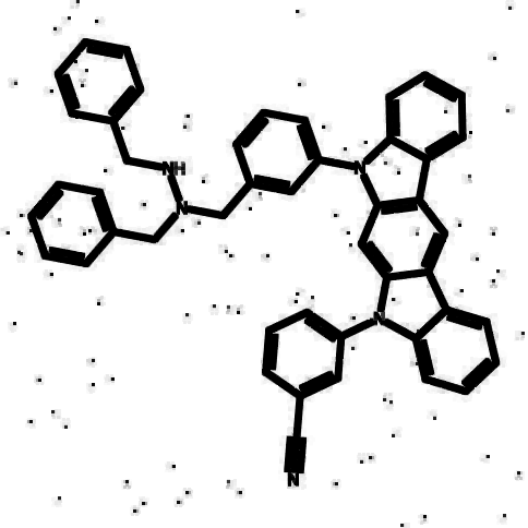 N#Cc1cccc(-n2c3ccccc3c3cc4c5ccccc5n(-c5cccc(CN(Cc6ccccc6)NCc6ccccc6)c5)c4cc32)c1